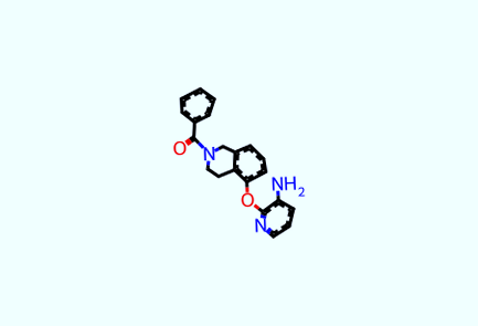 Nc1cccnc1Oc1cccc2c1CCN(C(=O)c1ccccc1)C2